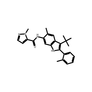 Cc1cc2c(C(C)(C)C)c(-c3ccccc3C)[nH]c2cc1NC(=O)c1ccnn1C